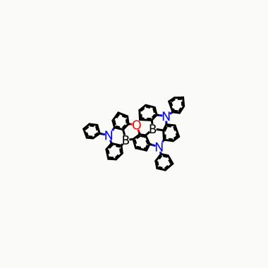 c1ccc(N2c3ccccc3B3c4ccc5c(c4Oc4cccc2c43)B2c3ccccc3N(c3ccccc3)c3cccc(c32)N5c2ccccc2)cc1